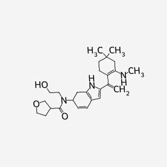 C=C(C1=C(NC)CC(C)(C)CC1)c1cc2c([nH]1)CC(N(CCO)C(=O)C1CCOC1)C=C2